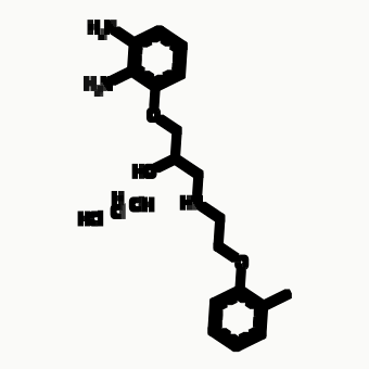 Cc1ccccc1OCCNCC(O)COc1cccc(N)c1N.Cl.Cl.Cl